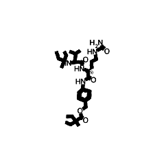 CCC(C)(CC)NC(C(=O)N[C@@H](CCCNC(N)=O)C(=O)Nc1ccc(COC(=O)C(C)(CC)CC)cc1)C(C)C